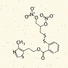 Cc1ncsc1CCOC(=O)c1ccccc1SSCC(CO[N+](=O)[O-])O[N+](=O)[O-]